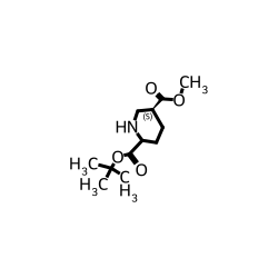 COC(=O)[C@H]1CCC(C(=O)OC(C)(C)C)NC1